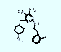 Nc1nc(NCCc2ccccc2F)nc(C[C@H]2CC[C@H](N)CC2)c1[N+](=O)[O-]